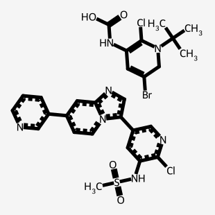 CC(C)(C)N1CC(Br)=CC(NC(=O)O)=C1Cl.CS(=O)(=O)Nc1cc(-c2cnc3cc(-c4cccnc4)ccn23)cnc1Cl